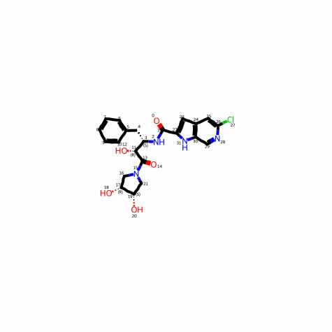 O=C(N[C@@H](Cc1ccccc1)[C@@H](O)C(=O)N1C[C@@H](O)[C@@H](O)C1)c1cc2cc(Cl)ncc2[nH]1